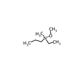 CCC[N+](C)(CC)OC